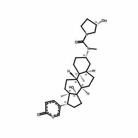 CN(C(=O)N1CC[C@H](O)C1)[C@H]1CC[C@@]2(C)[C@H](CC[C@@H]3[C@@H]2CC[C@]2(C)[C@@H](c4ccc(=O)oc4)CC[C@]32O)C1